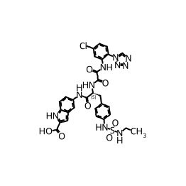 CCNS(=O)(=O)Nc1ccc(C[C@H](NC(=O)C(=O)Nc2cc(Cl)ccc2-n2cnnn2)C(=O)Nc2ccc3[nH]c(C(=O)O)cc3c2)cc1